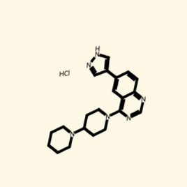 Cl.c1nc(N2CCC(N3CCCCC3)CC2)c2cc(-c3cn[nH]c3)ccc2n1